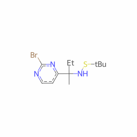 CCC(C)(NSC(C)(C)C)c1ccnc(Br)n1